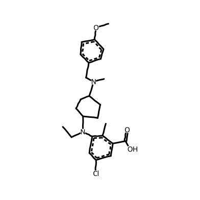 CCN(c1cc(Cl)cc(C(=O)O)c1C)C1CCC(N(C)Cc2ccc(OC)cc2)CC1